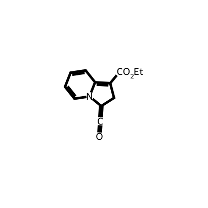 CCOC(=O)C1=C2C=CC=CN2C(=C=O)C1